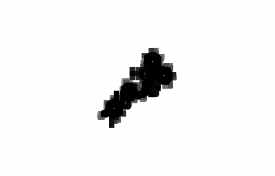 Cc1ccc(O[C@H]2C[N+]3(Cc4cc(C(O)(c5ccccc5)c5ccccc5)no4)CCC2CC3)cc1F